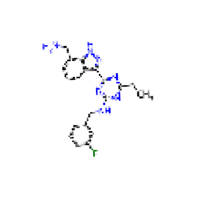 CCc1nc(NCc2cccc(F)c2)nc(-c2n[nH]c3c(CN)cccc23)n1